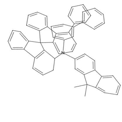 CC1(C)c2ccccc2-c2ccc(N(c3cccc(-c4ccccc4)c3)C3CC=CC4=C3C3(c5ccccc54)c4ccccc4-c4c(-c5ccccc5)cccc43)cc21